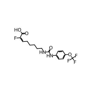 O=C(NCCCCC/C=C(/F)C(=O)O)Nc1ccc(OC(F)(F)F)cc1